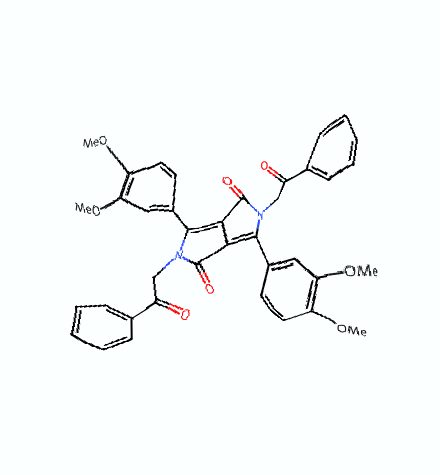 COc1ccc(C2=C3C(=O)N(CC(=O)c4ccccc4)C(c4ccc(OC)c(OC)c4)=C3C(=O)N2CC(=O)c2ccccc2)cc1OC